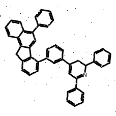 C1=C(c2cccc(-c3cccc4c3-c3cc(-c5ccccc5)c5ccccc5c3C4)c2)CC(c2ccccc2)N=C1c1ccccc1